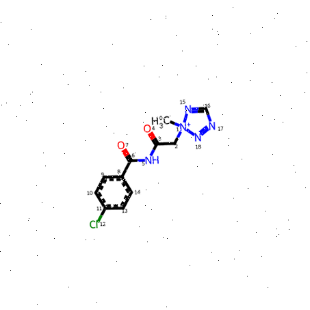 C[N+]1(CC(=O)NC(=O)c2ccc(Cl)cc2)N=CN=N1